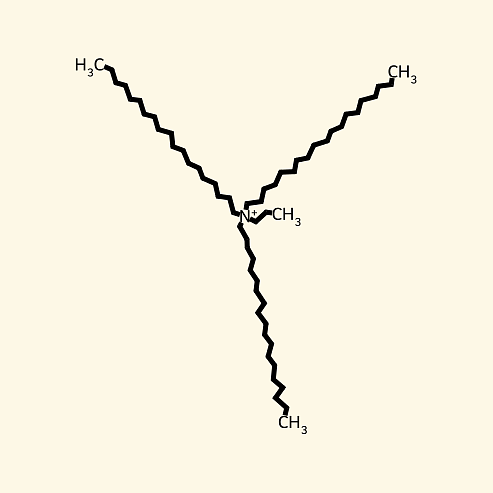 CCCCCCCCCCCCCCCCCCC[N+](CCC)(CCCCCCCCCCCCCCCCCCC)CCCCCCCCCCCCCCCCCCC